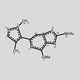 COc1nc(-c2c(C)cnn2C)cc2sc(NC(C)=O)nc12